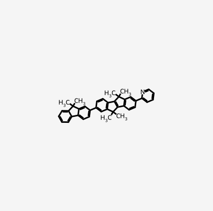 CC1(C)C2=C(c3ccc(-c4ccc5c(c4)C(C)(C)c4ccccc4-5)cc31)C(C)(C)c1cc(-c3ccccn3)ccc12